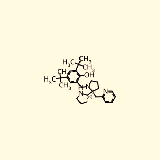 CC(C)(C)c1cc(CN2CCC[C@]2(Cc2ccccn2)[C@@H]2CCCN2)c(O)c(C(C)(C)C)c1